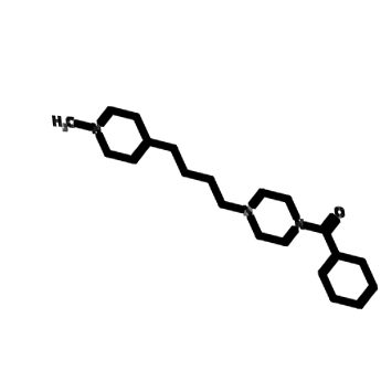 CN1CCC(CCCCN2CCN(C(=O)C3CCCCC3)CC2)CC1